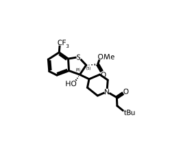 COC(=O)[C@H]1Sc2c(C(F)(F)F)cccc2[C@]1(O)C1CCN(C(=O)CC(C)(C)C)CC1